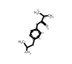 CC(C)Cc1ccc(CC(=O)C(C)C)cc1